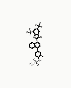 CS(=O)(=O)Nc1ccc(-c2ccc(-c3nc4c(C(F)(F)F)cc(C(F)(F)F)cc4[nH]3)c3ccccc23)cc1F